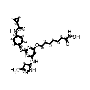 CC1=NNC(Nc2cc(OCCCCCCC(=O)NO)nc(Sc3ccc(NC(=O)C4CC4)cc3)n2)C1